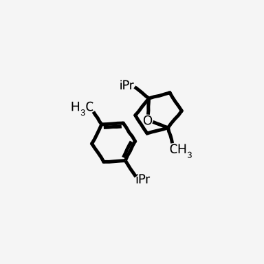 CC(C)C12CCC(C)(CC1)O2.CC1=CC=C(C(C)C)CC1